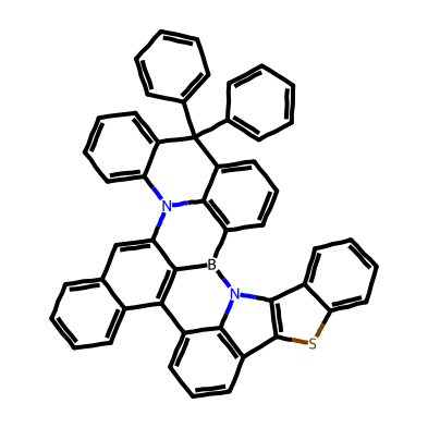 c1ccc(C2(c3ccccc3)c3ccccc3N3c4cc5ccccc5c5c4B(c4cccc2c43)n2c3c-5cccc3c3sc4ccccc4c32)cc1